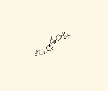 Cc1cc(N2CCC(CN3CCS(=O)(=O)CC3)CC2(C)C)nn1C1CCN(C(=O)OC(C)(C)C)CC1